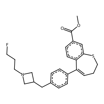 COC(=O)c1ccc2c(c1)SCCC=C2c1ccc(CC2CN(CCCF)C2)cc1